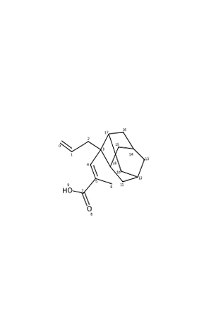 C=CCC1(/C=C(\C)C(=O)O)C2CC3CC(C2)CC1C3